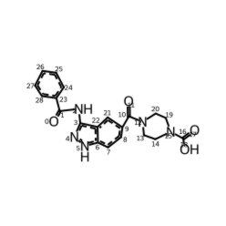 O=C(Nc1n[nH]c2ccc(C(=O)N3CCN(C(=O)O)CC3)cc12)c1ccccc1